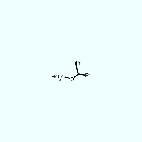 CCC(OC(=O)O)C(C)C